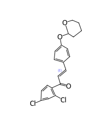 O=C(/C=C/c1ccc(OC2CCCCO2)cc1)c1ccc(Cl)cc1Cl